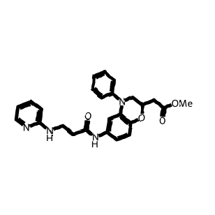 COC(=O)CC1CN(c2ccccc2)c2cc(NC(=O)CCNc3ccccn3)ccc2O1